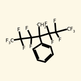 [CH2]C(c1ccccc1)(C(F)(F)C(F)(F)C(F)(F)F)C(F)(F)C(F)(F)C(F)(F)F